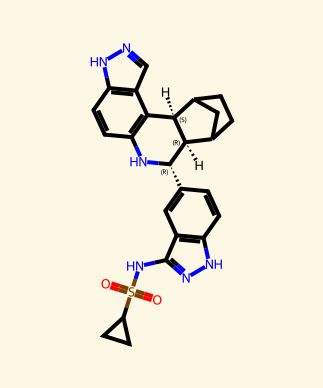 O=S(=O)(Nc1n[nH]c2ccc([C@@H]3Nc4ccc5[nH]ncc5c4[C@H]4C5CCC(C5)[C@@H]34)cc12)C1CC1